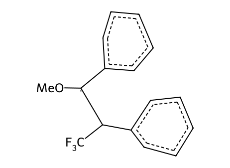 CO[C](c1ccccc1)C(c1ccccc1)C(F)(F)F